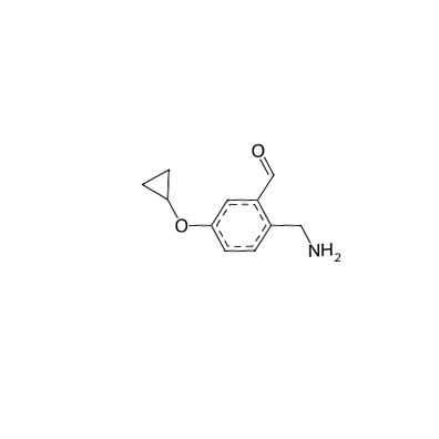 NCc1ccc(OC2CC2)cc1C=O